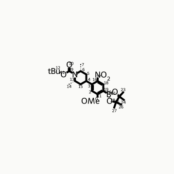 COc1cc(C2C[C@@H](C)N(C(=O)OC(C)(C)C)[C@@H](C)C2)c([N+](=O)[O-])cc1B1OC(C)(C)C(C)(C)O1